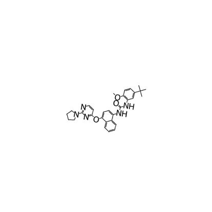 COc1ccc(C(C)(C)C)cc1NC(=O)Nc1ccc(Oc2ccnc(N3CCCC3)n2)c2ccccc12